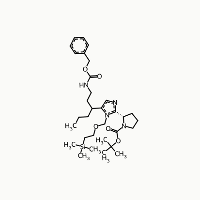 CCCC(CCNC(=O)OCc1ccccc1)c1cnc([C@@H]2CCCN2C(=O)OC(C)(C)C)n1COCC[Si](C)(C)C